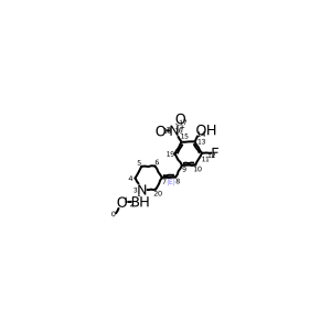 COBN1CCC/C(=C\c2cc(F)c(O)c([N+](=O)[O-])c2)C1